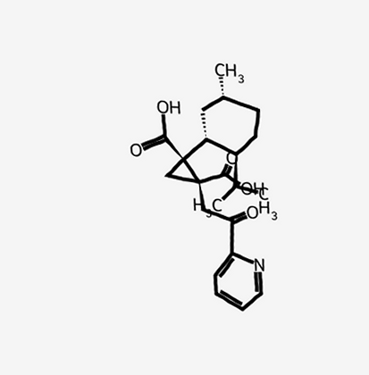 CC(C)[C@@H]1CC[C@@H](C)C[C@H]1[C@@]1(C(=O)O)C[C@@]1(CC(=O)c1ccccn1)C(=O)O